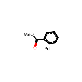 COC(=O)c1ccccc1.[Pd]